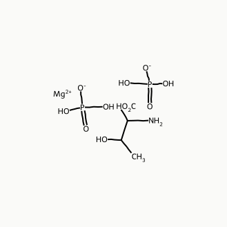 CC(O)C(N)C(=O)O.O=P([O-])(O)O.O=P([O-])(O)O.[Mg+2]